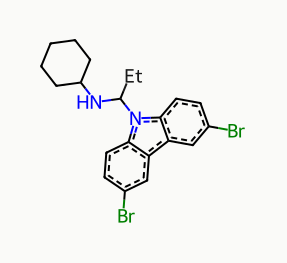 CCC(NC1CCCCC1)n1c2ccc(Br)cc2c2cc(Br)ccc21